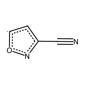 N#Cc1c[c]on1